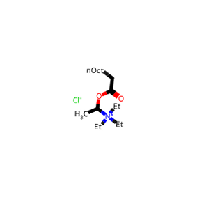 CCCCCCCCCC(=O)OC(C)[N+](CC)(CC)CC.[Cl-]